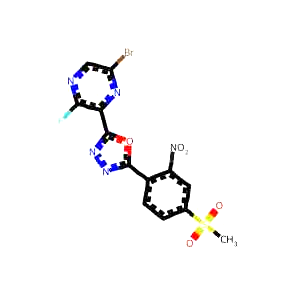 CS(=O)(=O)c1ccc(-c2nnc(-c3nc(Br)cnc3F)o2)c([N+](=O)[O-])c1